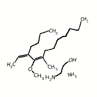 CC=C(CCCC)C(OC)=C(C)CCCCCCC.N.NCCO